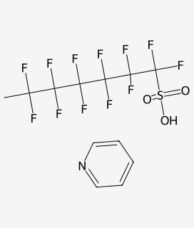 CC(F)(F)C(F)(F)C(F)(F)C(F)(F)C(F)(F)C(F)(F)S(=O)(=O)O.c1ccncc1